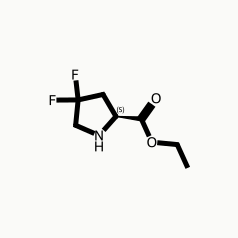 CCOC(=O)[C@@H]1CC(F)(F)CN1